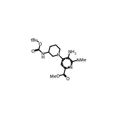 CNc1nc(C(=O)OC)cc(N2CCCC(NC(=O)OC(C)(C)C)C2)c1N